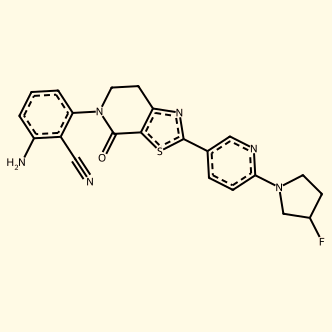 N#Cc1c(N)cccc1N1CCc2nc(-c3ccc(N4CCC(F)C4)nc3)sc2C1=O